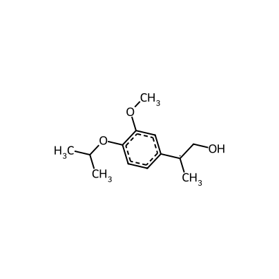 COc1cc([C](C)CO)ccc1OC(C)C